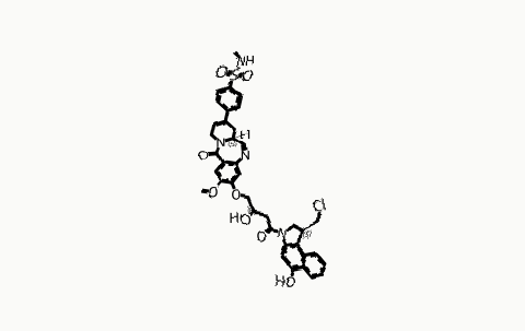 CNS(=O)(=O)c1ccc(C2=CCN3C(=O)c4cc(OC)c(OC[C@H](O)CC(=O)N5C[C@@H](CCl)c6c5cc(O)c5ccccc65)cc4N=C[C@@H]3C2)cc1